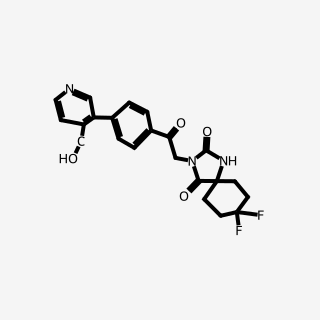 O=C(CN1C(=O)NC2(CCC(F)(F)CC2)C1=O)c1ccc(-c2cnccc2CO)cc1